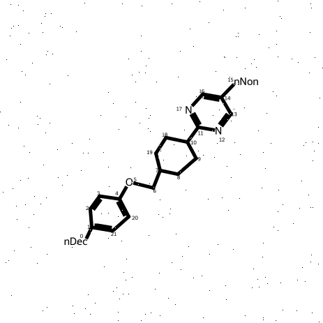 CCCCCCCCCCc1ccc(OCC2CCC(c3ncc(CCCCCCCCC)cn3)CC2)cc1